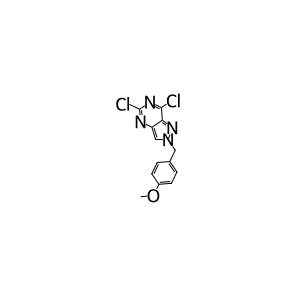 COc1ccc(Cn2cc3nc(Cl)nc(Cl)c3n2)cc1